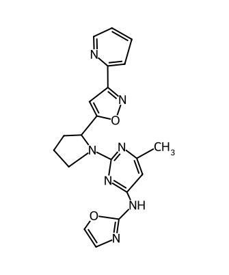 Cc1cc(Nc2ncco2)nc(N2CCCC2c2cc(-c3ccccn3)no2)n1